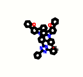 FC(F)(F)c1ccc(-n2c3ccccc3c3c4oc5ccccc5c4ccc32)c(-c2cc(-n3c4ccccc4c4c5oc6ccccc6c5ccc43)ccc2-c2nc(-c3ccccc3)nc(-c3ccccc3)n2)c1